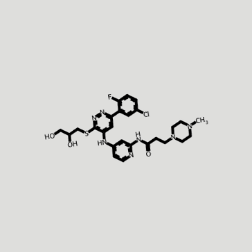 CN1CCN(CCC(=O)Nc2cc(Nc3cc(-c4cc(Cl)ccc4F)nnc3SCC(O)CO)ccn2)CC1